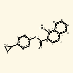 O=C(Oc1ccc(C2CO2)cc1)c1ccc2ccccc2c1O